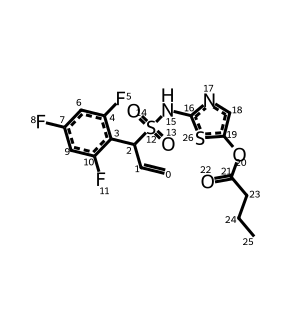 C=CC(c1c(F)cc(F)cc1F)S(=O)(=O)Nc1ncc(OC(=O)CCC)s1